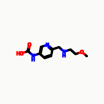 COCCNCc1ccc(NC(=O)O)cn1